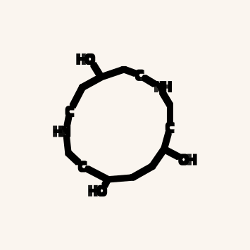 OC1CCNCCC(O)CCC(O)CCNCC1